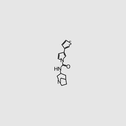 O=C(NC1CC2CCN(C2)C1)n1ccc(-c2ccsc2)c1